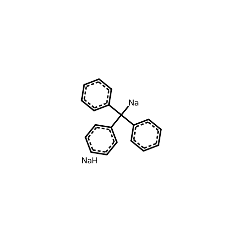 [NaH].[Na][C](c1ccccc1)(c1ccccc1)c1ccccc1